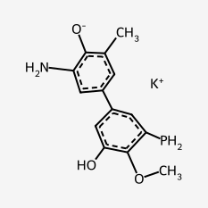 COc1c(O)cc(-c2cc(C)c([O-])c(N)c2)cc1P.[K+]